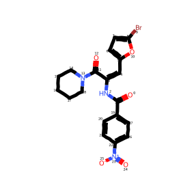 O=C(NC(=Cc1ccc(Br)o1)C(=O)N1CCCCC1)c1ccc([N+](=O)[O-])cc1